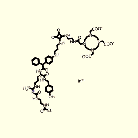 CCC(=O)NCCNC(=O)/N=C(/N)NCCC[C@@H](NC(=O)C(c1ccccc1)c1ccc(NCCCNc2c(NCCNC(=O)CN3CCN(CC(=O)[O-])CCN(CC(=O)[O-])CCN(CC(=O)[O-])CC3)c(=O)c2=O)cc1)C(=O)NCc1ccc(O)cc1.[In+3]